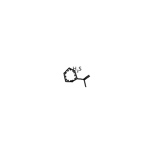 C=C(C)c1ccccc1.S